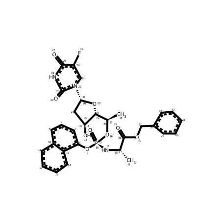 C[C@H](N[P@](=O)(Oc1cccc2ccccc12)O[C@H](C)[C@H]1O[C@@H](n2cc(F)c(=O)[nH]c2=O)C[C@@H]1O)C(=O)OCc1ccccc1